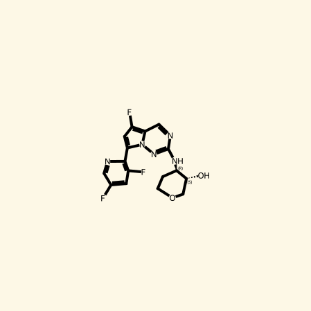 O[C@@H]1COCC[C@H]1Nc1ncc2c(F)cc(-c3ncc(F)cc3F)n2n1